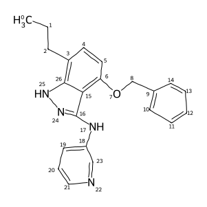 CCCc1ccc(OCc2ccccc2)c2c(Nc3cccnc3)n[nH]c12